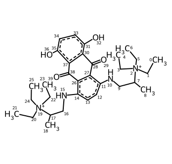 CC[N+](CC)(CC)C(C)CNc1ccc(NCC(C)[N+](CC)(CC)CC)c2c1C(=O)c1c(O)ccc(O)c1C2=O